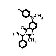 CCCC(c1ccccc1)n1c(C)nc2ccc(N(C)c3ccc(F)cc3)cc2c1=O